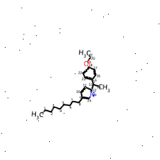 CCCCCCCCCc1ccc(C(C)c2ccc(OCC)cc2)nc1